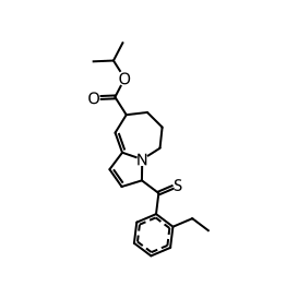 CCc1ccccc1C(=S)C1C=CC2=CC(C(=O)OC(C)C)CCCN21